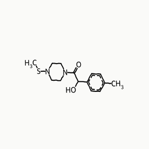 CSN1CCN(C(=O)C(O)c2ccc(C)cc2)CC1